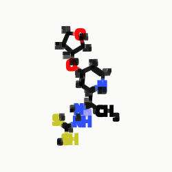 C/C(=N\NC(=S)S)c1cc(OC2CCOC2)ccn1